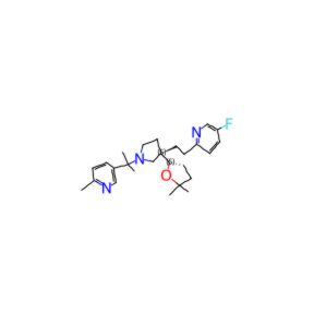 Cc1ccc(C(C)(C)N2CC[C@](CCc3ccc(F)cn3)([C@@H]3CCC(C)(C)O3)C2)cn1